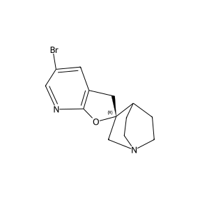 Brc1cnc2c(c1)C[C@@]1(CN3CCC1CC3)O2